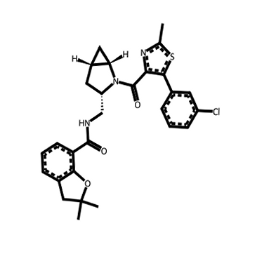 Cc1nc(C(=O)N2[C@H](CNC(=O)c3cccc4c3OC(C)(C)C4)C[C@@H]3C[C@@H]32)c(-c2cccc(Cl)c2)s1